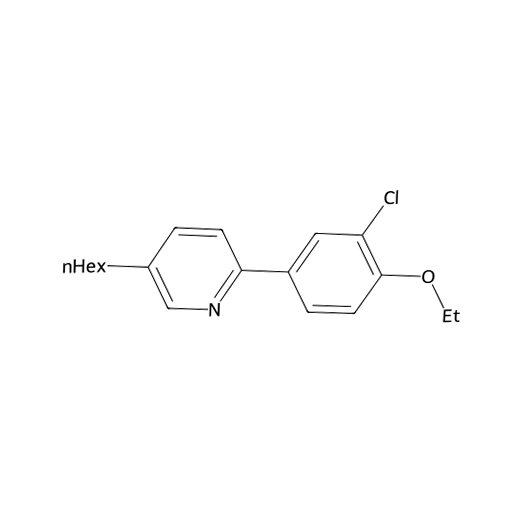 CCCCCCc1ccc(-c2ccc(OCC)c(Cl)c2)nc1